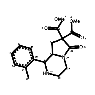 COC(=O)C1(C(=O)OC)CC2C(c3ccccc3C)NCCN2C1=O